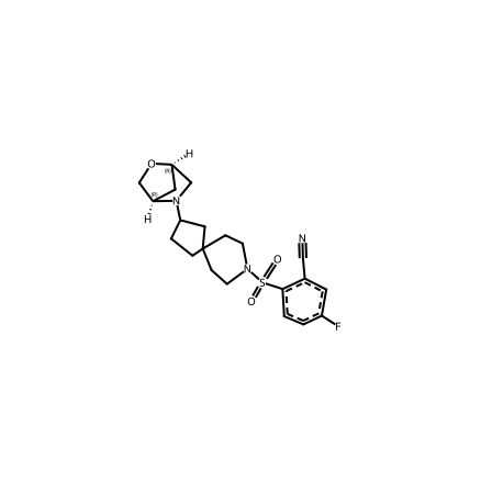 N#Cc1cc(F)ccc1S(=O)(=O)N1CCC2(CCC(N3C[C@H]4C[C@@H]3CO4)C2)CC1